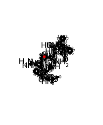 CCOC(=O)C(C)NC(=O)CNC(=O)C(Cc1ccccc1)NC(=O)C(Cc1c[nH]cn1)NC(=O)C(CCCNC(=N)N)NC(=O)C(CC(C)C)NC1C(=O)C1C(CCC(N)=O)NC(=O)C(C)NC(=O)C(CO)NC(=O)CN(C(=O)CN(Cc1ccccc1)C(=O)CN(CCOC)C(C)=O)c1ccccc1